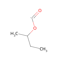 CCC(C)O[C]=O